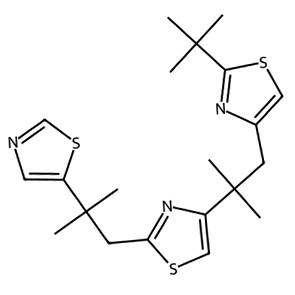 CC(C)(C)c1nc(CC(C)(C)c2csc(CC(C)(C)c3cncs3)n2)cs1